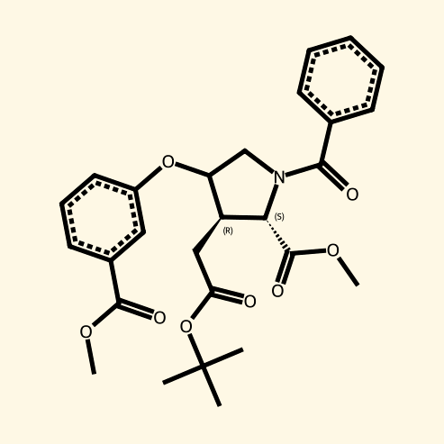 COC(=O)c1cccc(OC2CN(C(=O)c3ccccc3)[C@H](C(=O)OC)[C@H]2CC(=O)OC(C)(C)C)c1